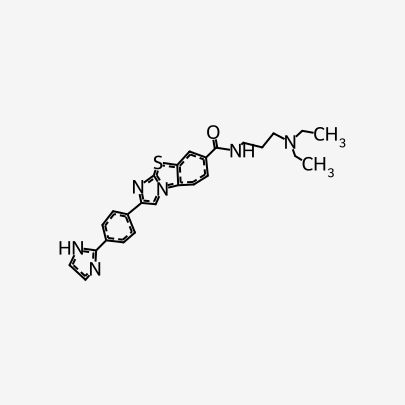 CCN(CC)CCCNC(=O)c1ccc2c(c1)sc1nc(-c3ccc(-c4ncc[nH]4)cc3)cn12